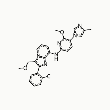 COCc1c(-c2ccccc2Cl)nc2c(Nc3ccc(-n4cnc(C)c4)c(OC)n3)cccn12